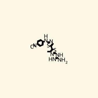 [C-]#[N+]c1ccc(Nc2ncc(-c3sc(NC(=N)N)nc3C)s2)cc1